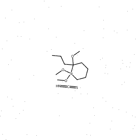 CCCC1(OC)CCCC[Si]1(OC)OC.N=C=S